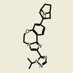 CC(C)n1ncnc1-c1cn2c(n1)-c1ccc(C3CC4CCC(C3)N4)cc1OCC2